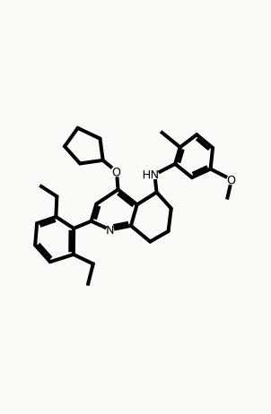 CCc1cccc(CC)c1-c1cc(OC2CCCC2)c2c(n1)CCCC2Nc1cc(OC)ccc1C